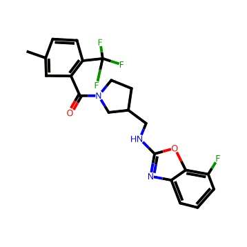 Cc1ccc(C(F)(F)F)c(C(=O)N2CCC(CNc3nc4cccc(F)c4o3)C2)c1